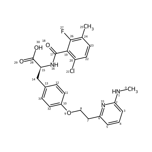 CNc1cccc(CCOc2ccc(C[C@H](NC(=O)c3c(Cl)ccc(C)c3F)C(=O)O)cc2)n1